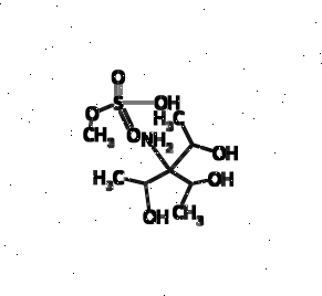 CC(O)C(N)(C(C)O)C(C)O.COS(=O)(=O)O